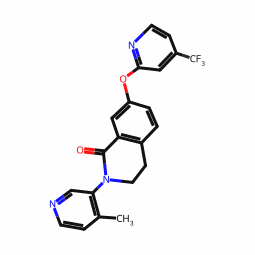 Cc1ccncc1N1CCc2ccc(Oc3cc(C(F)(F)F)ccn3)cc2C1=O